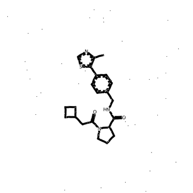 Cc1ncsc1-c1ccc(CNC(=O)C2CCCN2C(=O)CC2CCC2)cc1